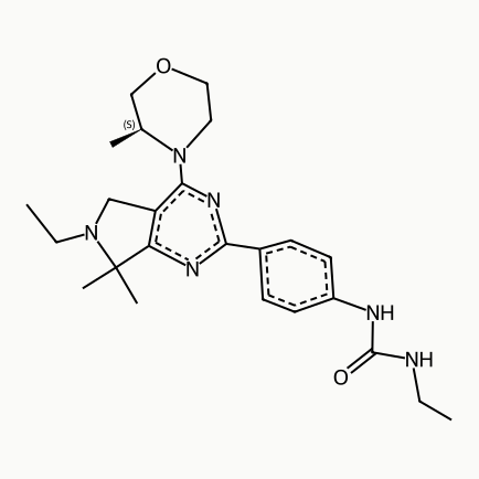 CCNC(=O)Nc1ccc(-c2nc(N3CCOC[C@@H]3C)c3c(n2)C(C)(C)N(CC)C3)cc1